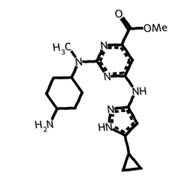 COC(=O)c1cc(Nc2cc(C3CC3)[nH]n2)nc(N(C)C2CCC(N)CC2)n1